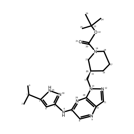 CC(C)c1cc(Nc2cnc3cnn(C[C@@H]4CCCN(C(=O)OC(C)(C)C)C4)c3n2)n[nH]1